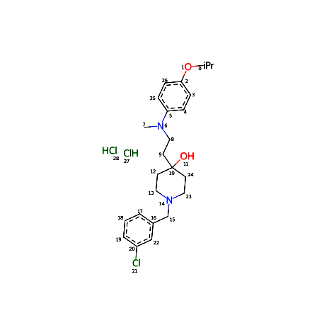 CC(C)Oc1ccc(N(C)CCC2(O)CCN(Cc3cccc(Cl)c3)CC2)cc1.Cl.Cl